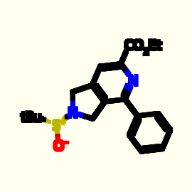 CCOC(=O)c1cc2c(c(-c3ccccc3)n1)CN([S@+]([O-])C(C)(C)C)C2